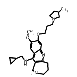 COc1cc2c(NCC3CC3)c3c(nc2cc1OCCCN1CCC(C)C1)CCCNC3